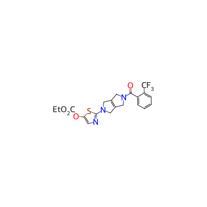 CCOC(=O)Oc1cnc(N2CC3=C(CN(C(=O)c4ccccc4C(F)(F)F)C3)C2)s1